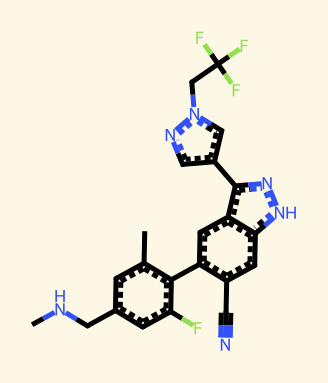 CNCc1cc(C)c(-c2cc3c(-c4cnn(CC(F)(F)F)c4)n[nH]c3cc2C#N)c(F)c1